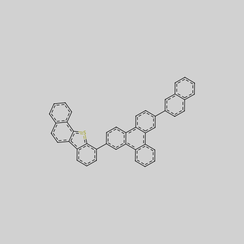 c1ccc2cc(-c3ccc4c5ccc(-c6cccc7c6sc6c8ccccc8ccc76)cc5c5ccccc5c4c3)ccc2c1